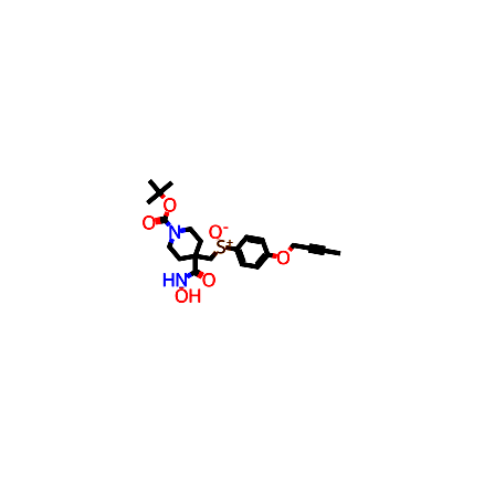 CC#CCOc1ccc([S+]([O-])CC2(C(=O)NO)CCN(C(=O)OC(C)(C)C)CC2)cc1